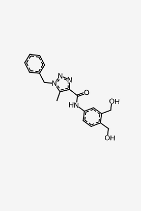 Cc1c(C(=O)Nc2ccc(CO)c(CO)c2)nnn1Cc1ccccc1